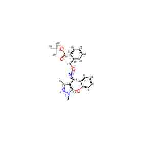 Cc1nn(C)c(Oc2ccccc2)c1/C=N/OCc1ccccc1C(=O)OC(C)(C)C